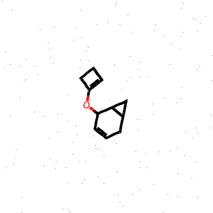 C1=CC(OC2=CCC2)C2CC2C1